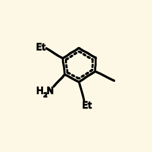 CCc1ccc(C)c(CC)c1N